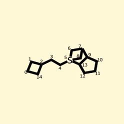 C1CC(CCS23CC(C2)C2CCCC23)C1